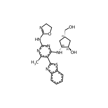 Cc1nc(NC2=NCCO2)nc(N[C@@H]2C[C@H](CO)C[C@H]2O)c1-c1nc2ccccc2s1